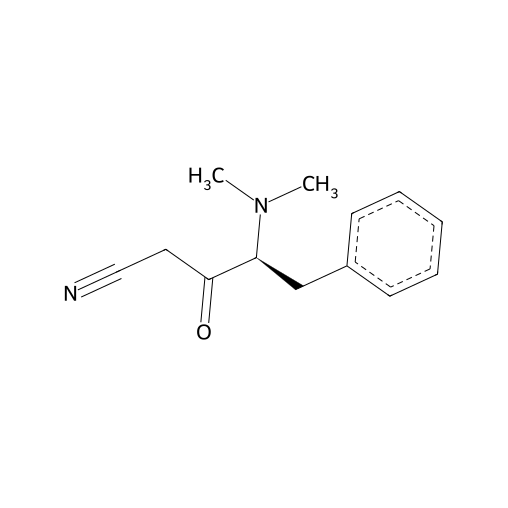 CN(C)[C@@H](Cc1ccccc1)C(=O)CC#N